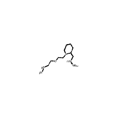 CC(C)NCCOCCN1CCCCC1CNC(C)(C)C